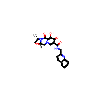 C[C@H]1CO[C@@H]2Cn3cc(C(=O)NCc4ccc5ccccc5n4)c(=O)c(O)c3C(=O)N12